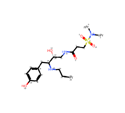 CCCN(CCC)S(=O)(=O)CCC(=O)NC[C@@H](O)C(Cc1ccc(O)cc1)NCCC(C)C